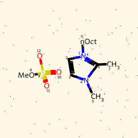 CCCCCCCC[n+]1ccn(C)c1C.COS(=O)(=O)[O-]